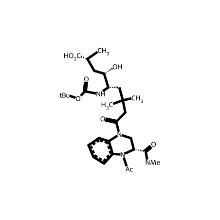 CNC(=O)[C@H]1CN(C(=O)CC(C)(C)C[C@H](NC(=O)OC(C)(C)C)[C@@H](O)C[C@@H](C)C(=O)O)c2ccccc2N1C(C)=O